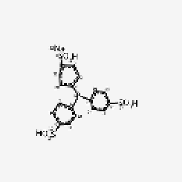 O=S(=O)(O)c1ccc(P(c2ccc(S(=O)(=O)O)cc2)c2ccc(S(=O)(=O)O)cc2)cc1.[Na]